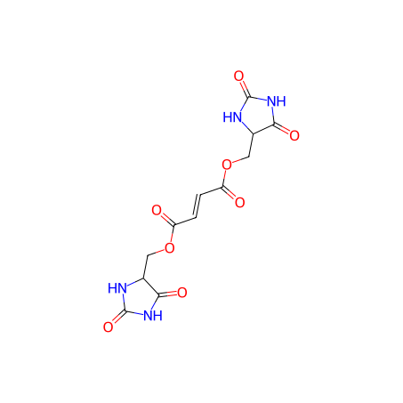 O=C1NC(=O)C(COC(=O)/C=C/C(=O)OCC2NC(=O)NC2=O)N1